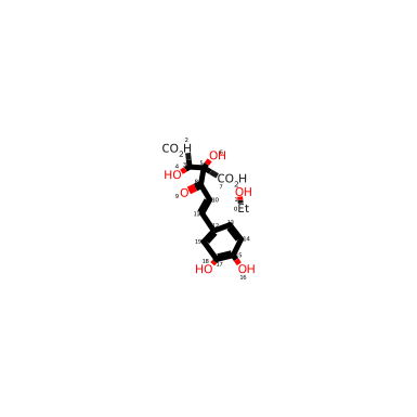 CCO.O=C(O)C(O)C(O)(C(=O)O)C(=O)C=Cc1ccc(O)c(O)c1